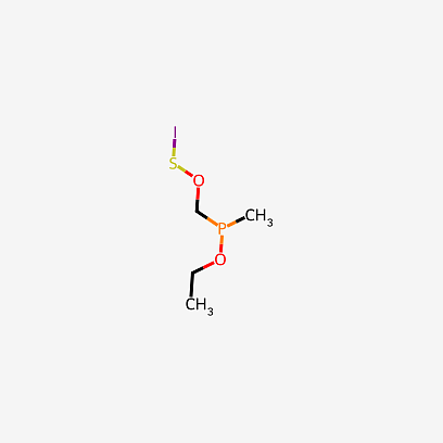 CCOP(C)COSI